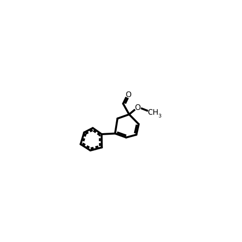 COC1(C=O)C=CC=C(c2ccccc2)C1